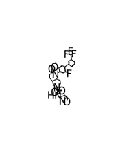 COc1cc(-c2cccc(C(F)(F)F)c2)c(F)cc1N1C(=O)CCC2CN(S(=O)(=O)Nc3ccon3)CCC21